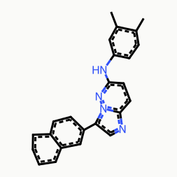 Cc1ccc(Nc2ccc3ncc(-c4ccc5ccccc5c4)n3n2)cc1C